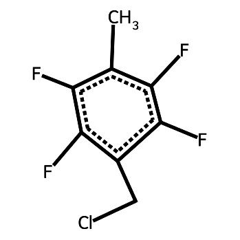 Cc1c(F)c(F)c(CCl)c(F)c1F